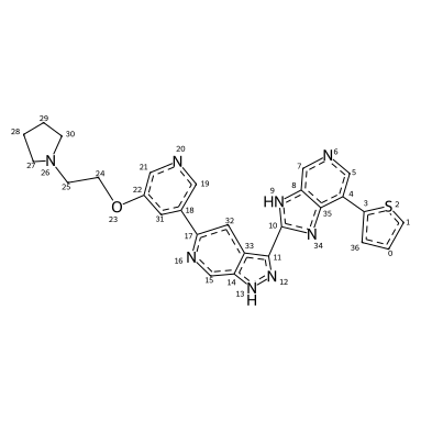 c1csc(-c2cncc3[nH]c(-c4n[nH]c5cnc(-c6cncc(OCCN7CCCC7)c6)cc45)nc23)c1